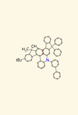 CC(C)(C)c1ccc2c(c1)C(C)(C)c1cccc(-c3ccccc3N(c3cccc(-c4ccccc4)c3)c3ccc4c(c3)C(c3ccccc3)(c3ccccc3)c3ccccc3-4)c1-2